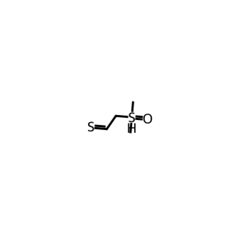 C[SH](C)(=O)CC=S